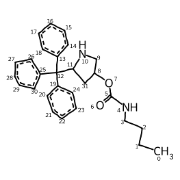 CCCCNC(=O)OC1CNC(C(c2ccccc2)(c2ccccc2)c2ccccc2)C1